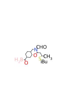 BC(=O)C1CCC(CN(C=O)C(=O)CC(C)SC(C)CC)CC1